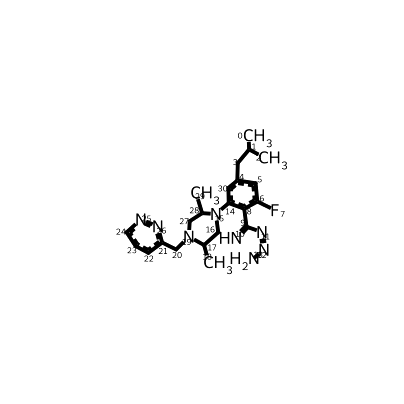 CC(C)Cc1cc(F)c(C(=N)/N=N\N)c(N2CC(C)N(Cc3cccnn3)CC2C)c1